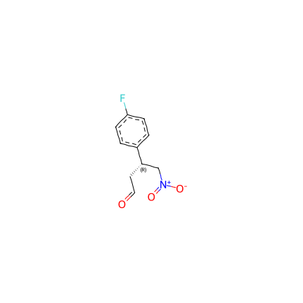 O=CC[C@@H](C[N+](=O)[O-])c1ccc(F)cc1